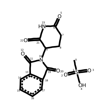 CS(=O)(=O)O.O=C1CCC(N2C(=O)c3ccccc3C2=O)C(=O)N1